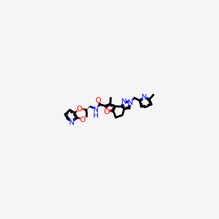 Cc1cccc(Cn2cc3c(n2)-c2c(oc(C(=O)NC[C@@H]4COc5ncccc5O4)c2C)CC3)n1